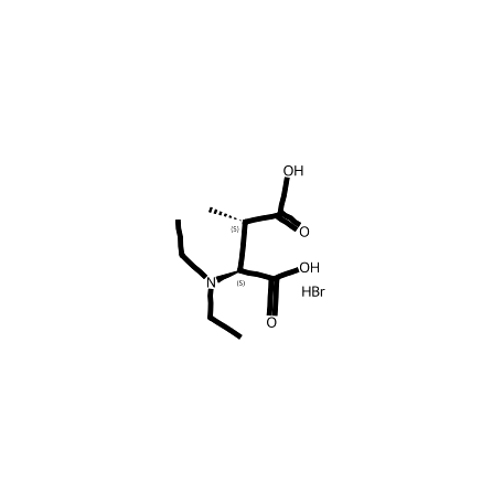 Br.CCN(CC)[C@H](C(=O)O)[C@H](C)C(=O)O